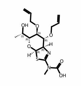 C=CCO[C@H]1[C@H](OCC=C)[C@H]2N=C(N(C)C(=O)O)S[C@H]2O[C@@H]1[C@H](C)O